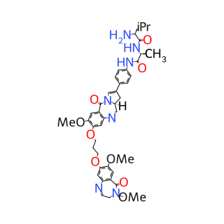 COc1cc2c(cc1OCCCOc1cc3c(cc1OC)C(=O)N1C=C(c4ccc(NC(=O)[C@H](C)NC(=O)[C@@H](N)C(C)C)cc4)C[C@H]1C=N3)N=CCN(OC)C2=O